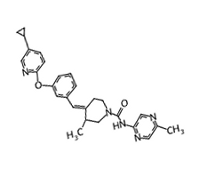 Cc1cnc(NC(=O)N2CC/C(=C\c3cccc(Oc4ccc(C5CC5)cn4)c3)C(C)C2)cn1